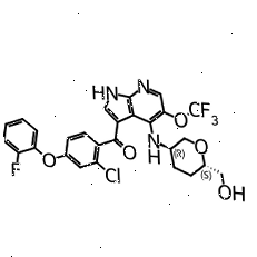 O=C(c1ccc(Oc2ccccc2F)cc1Cl)c1c[nH]c2ncc(OC(F)(F)F)c(N[C@@H]3CC[C@@H](CO)OC3)c12